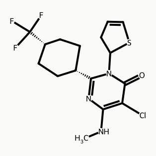 CNc1nc([C@H]2CC[C@@H](C(F)(F)F)CC2)n(C2CC=CS2)c(=O)c1Cl